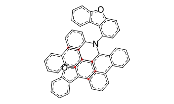 c1ccc(N(c2c(-c3ccc4ccccc4c3)c3ccccc3c3ccccc23)c2cccc3oc4ccccc4c23)c(-c2cccc3c2oc2ccccc23)c1